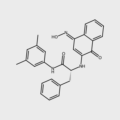 Cc1cc(C)cc(NC(=O)[C@@H](Cc2ccccc2)NC2=CC(=NO)c3ccccc3C2=O)c1